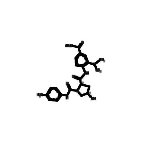 COC(=O)c1ccc(NC(=O)[C@H]2C[C@@H](O)CN2C(=O)Nc2ccc(C)cc2)c(N(C)C)c1